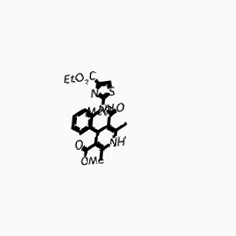 CCOC(=O)c1csc(Nc2ccccc2C2C(C(=O)OC)=C(C)NC(C)=C2C(=O)OC)n1